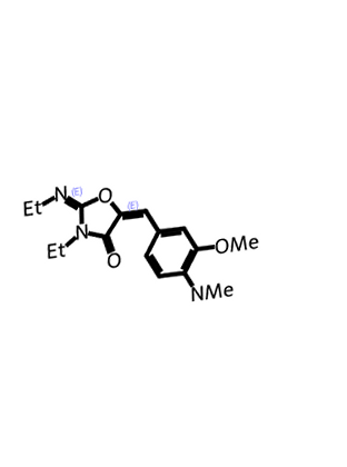 CC/N=C1/O/C(=C/c2ccc(NC)c(OC)c2)C(=O)N1CC